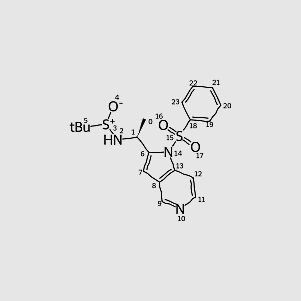 C[C@H](N[S+]([O-])C(C)(C)C)c1cc2cnccc2n1S(=O)(=O)c1ccccc1